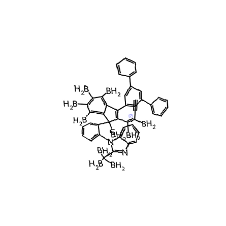 BCC1(c2ccccc2-n2c(C(B)(B)B)nc3ccccc32)C(/C(B)=C(/B)C#C)=C(c2cc(-c3ccccc3)cc(-c3ccccc3)c2)c2c(B)c(B)c(B)c(B)c21